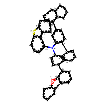 c1ccc(-c2ccc(-c3cccc4ccccc34)cc2N(c2ccc(-c3cccc4c3oc3ccccc34)cc2)c2cccc3sc4ccccc4c23)cc1